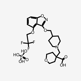 O=C(O)C1(CN2CCC(COc3noc4cccc(OCC(F)(F)F)c34)CC2)CCOCC1.O=P(O)(O)O